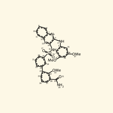 COc1cc(Nc2nc3ccccc3nc2NS(=O)(=O)c2cccc(-c3cccc(C(N)=O)c3OC)c2)cc(OC)c1